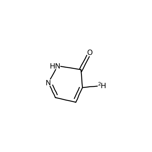 [2H]c1ccn[nH]c1=O